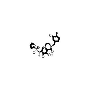 O=C1c2c(O)c(=O)c(NS(=O)(=O)c3cccs3)cn2CCN1Cc1ccc(F)c(Cl)c1